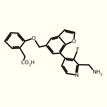 NCc1nccc(-c2cc(COc3ccccc3CC(=O)O)cc3ccoc23)c1F